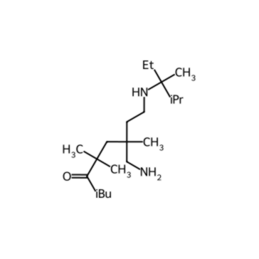 CCC(C)C(=O)C(C)(C)CC(C)(CN)CCNC(C)(CC)C(C)C